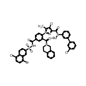 CCCCN(C(=O)c1nn(-c2ccc(C(=O)NS(=O)(=O)c3ccc4c(Cl)ccc(Br)c4c3)cc2C(=O)N2CCc3ccccc3C2)c(C)c1Cl)c1cccc(-c2cccc(Cl)c2)c1